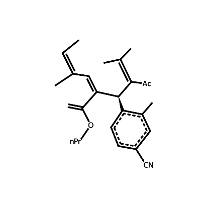 C=C(OCCC)/C(=C\C(C)=C/C)[C@@H](C(C(C)=O)=C(C)C)c1ccc(C#N)cc1C